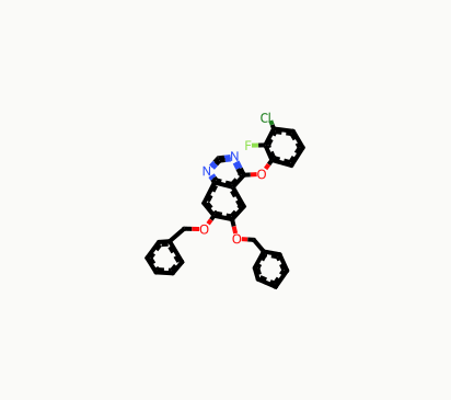 Fc1c(Cl)cccc1Oc1ncnc2cc(OCc3ccccc3)c(OCc3ccccc3)cc12